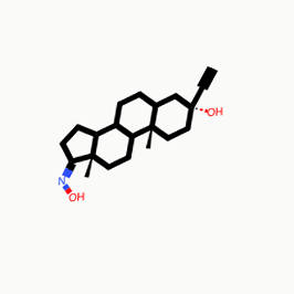 C#C[C@@]1(O)CC[C@@]2(C)C(CCC3C2CC[C@]2(C)/C(=N\O)CCC32)C1